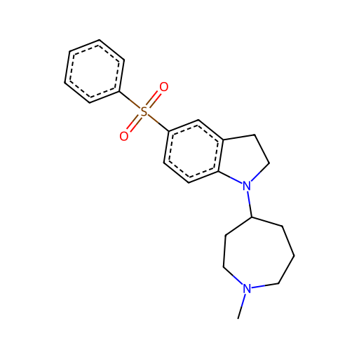 CN1CCCC(N2CCc3cc(S(=O)(=O)c4ccccc4)ccc32)CC1